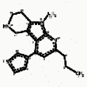 CCCc1cc(-c2ccsc2)c2c3c(n(C)c2n1)CCNC3